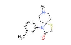 CC(=O)N1CCC2(CC1)SCC(=O)N2c1cccc(C)c1